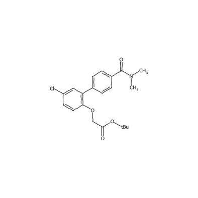 CN(C)C(=O)c1ccc(-c2cc(Cl)ccc2OCC(=O)OC(C)(C)C)cc1